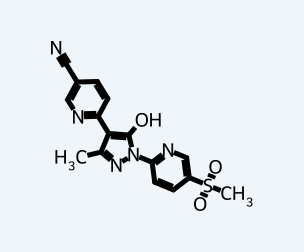 Cc1nn(-c2ccc(S(C)(=O)=O)cn2)c(O)c1-c1ccc(C#N)cn1